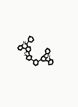 c1ccc(-c2nc3ccccc3c3c2ccc2c4cc(-c5cccc(-c6cc7c8ccccc8n8c9ccccc9c(c6)c78)c5)ccc4sc23)cc1